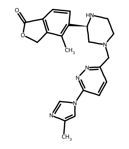 Cc1cn(-c2ccc(CN3CCN[C@H](c4ccc5c(c4C)COC5=O)C3)nn2)cn1